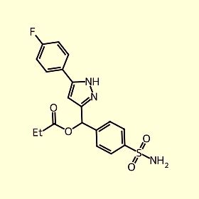 CCC(=O)OC(c1ccc(S(N)(=O)=O)cc1)c1cc(-c2ccc(F)cc2)[nH]n1